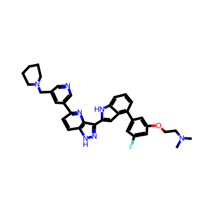 CN(C)CCOc1cc(F)cc(-c2cccc3[nH]c(-c4n[nH]c5ccc(-c6cncc(CN7CCCCC7)c6)nc45)cc23)c1